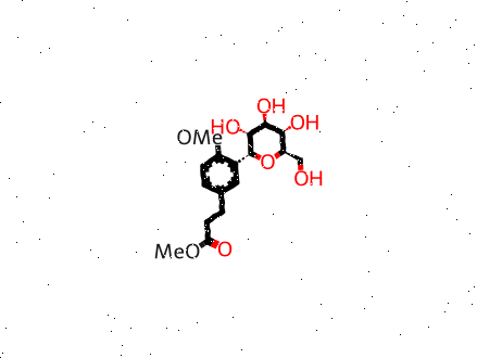 COC(=O)CCc1ccc(OC)c([C@H]2O[C@H](CO)[C@@H](O)[C@H](O)[C@H]2O)c1